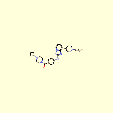 CCOC(=O)N1CC=C(c2cccn3nc(Nc4ccc(C(=O)N5CCN(C6CCC6)CC5)cc4)nc23)CC1